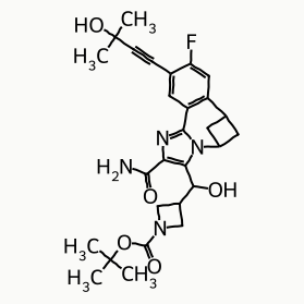 CC(C)(O)C#Cc1cc2c(cc1F)C1CC(C1)n1c-2nc(C(N)=O)c1C(O)C1CN(C(=O)OC(C)(C)C)C1